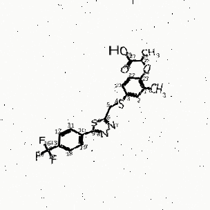 Cc1cc(SCc2nnc(-c3ccc(C(F)(F)F)cc3)s2)ccc1OC(C)C(=O)O